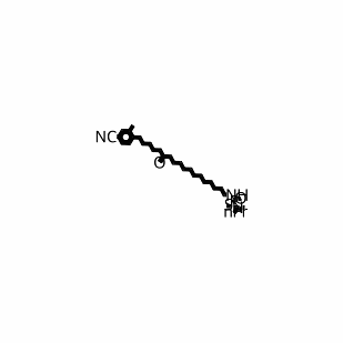 CCCSP(=O)(NCCCCCCCCCCCCC(=O)CCCCCc1ccc(C#N)cc1C)N(C)C